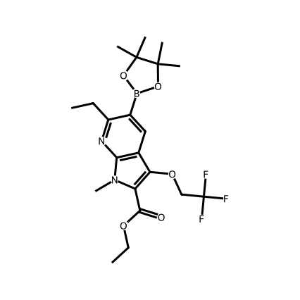 CCOC(=O)c1c(OCC(F)(F)F)c2cc(B3OC(C)(C)C(C)(C)O3)c(CC)nc2n1C